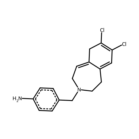 Nc1ccc(CN2CC=C3CC(Cl)=C(Cl)C=C3CC2)cc1